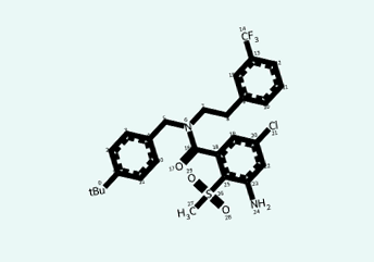 CC(C)(C)c1ccc(CN(CCc2cccc(C(F)(F)F)c2)C(=O)c2cc(Cl)cc(N)c2S(C)(=O)=O)cc1